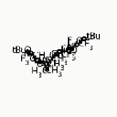 CN(C)c1cc(-c2nc3cc(C(c4ccc5oc(C(C)(C)C)nc5c4)(C(F)(F)F)C(F)(F)F)ccc3o2)cc(C(C)(C)CCC(C)(C)c2nc3cc(C(c4ccc5oc(-c6ccc(C(c7ccc(C(C)(C)C)cc7)(C(F)(F)F)C(F)(F)F)cc6)nc5c4)(C(F)(F)F)C(F)(F)F)ccc3o2)c1